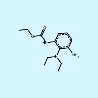 CCOC(=O)Nc1cccc(N)c1N(CC)CC